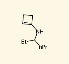 CCCC(CC)NC1=CCC1